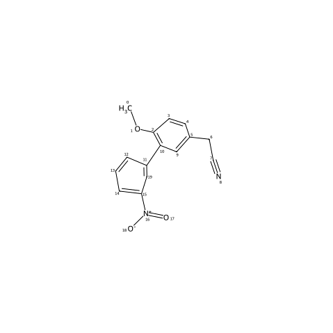 COc1ccc(CC#N)cc1-c1cccc([N+](=O)[O-])c1